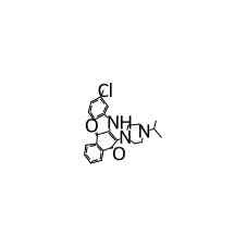 CC(C)N1CCN(C2=C(Nc3cccc(Cl)c3)C(=O)c3ccccc3C2=O)CC1